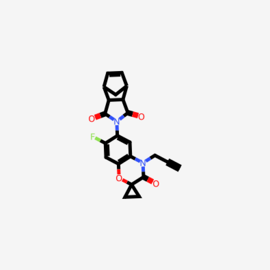 C#CCN1C(=O)C2(CC2)Oc2cc(F)c(N3C(=O)C4C5C=CC(C5)C4C3=O)cc21